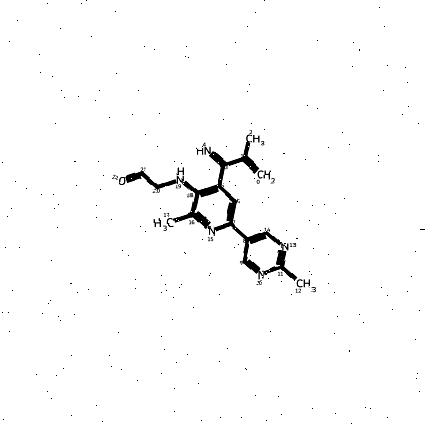 C=C(C)C(=N)c1cc(-c2cnc(C)nc2)nc(C)c1NCC=O